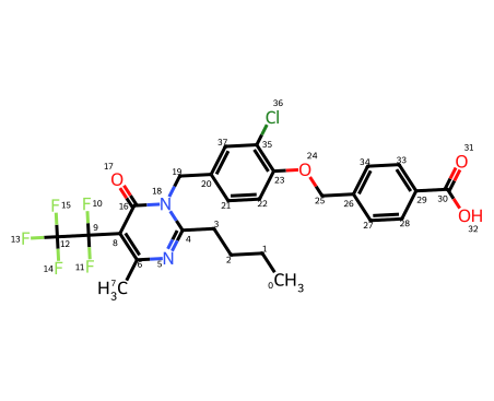 CCCCc1nc(C)c(C(F)(F)C(F)(F)F)c(=O)n1Cc1ccc(OCc2ccc(C(=O)O)cc2)c(Cl)c1